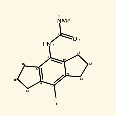 CNC(=O)Nc1c2c(c(F)c3c1CCC3)CCC2